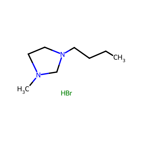 Br.CCCCN1CCN(C)C1